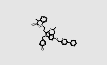 CC1Cc2c(OCc3ccc(-c4ccccc4)cn3)ccc3c2c(c(CCOc2ccccc2C(C)C(=O)O)n3Cc2ccc(Cl)cc2)S1